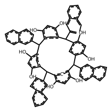 C=C(/C=c1/cccc/c1=C/C)C1c2cc(c(O)cc2O)C(c2ccc3ccccc3c2)c2cc(c(O)cc2O)C(c2ccc3ccccc3c2)c2cc(c(O)cc2O)C(c2ccc3ccccc3c2)c2cc1c(O)cc2O